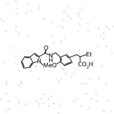 CCC(Cc1ccc(OC)c(CNC(=O)c2cc3ccccc3n2C)c1)C(=O)O